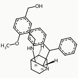 COc1ccc(CO)cc1CN[C@@H]1C2CCN(CC2)[C@H]1C(c1ccccc1)c1ccccc1